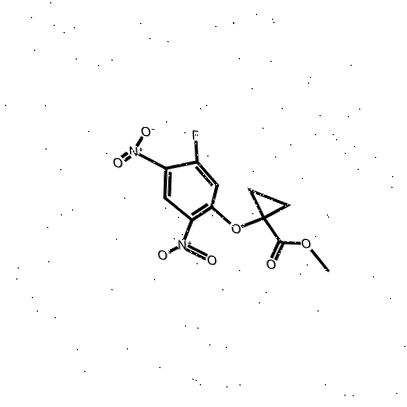 COC(=O)C1(Oc2cc(F)c([N+](=O)[O-])cc2[N+](=O)[O-])CC1